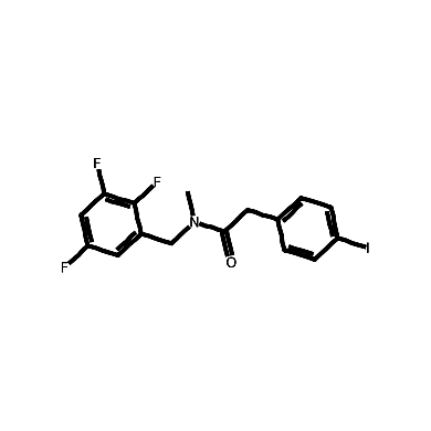 CN(Cc1cc(F)cc(F)c1F)C(=O)Cc1ccc(I)cc1